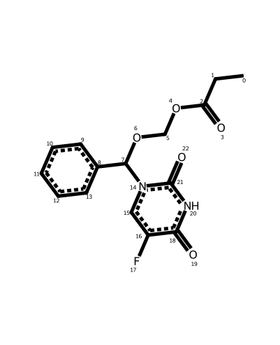 CCC(=O)OCOC(c1ccccc1)n1cc(F)c(=O)[nH]c1=O